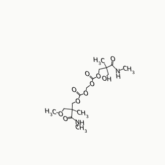 CNC(=O)C(C)(CO)COC(=O)OCOC(=O)OCC(C)(COC)C(=O)NC